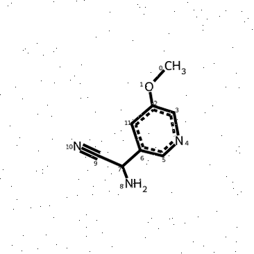 COc1cncc(C(N)C#N)c1